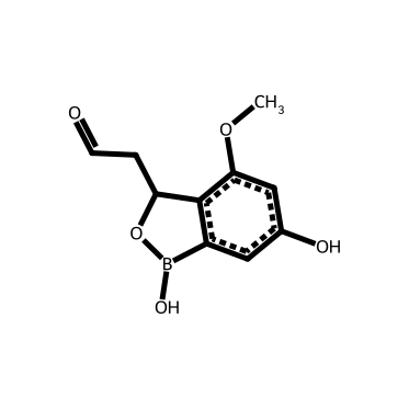 COc1cc(O)cc2c1C(CC=O)OB2O